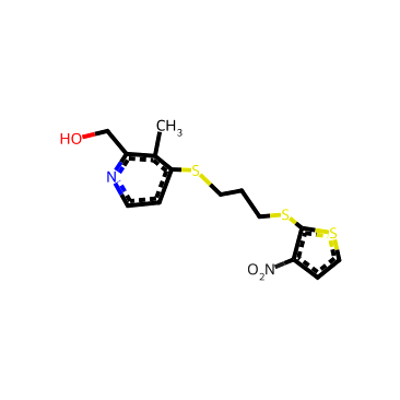 Cc1c(SCCCSc2sccc2[N+](=O)[O-])ccnc1CO